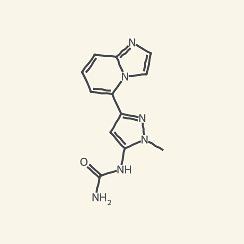 Cn1nc(-c2cccc3nccn23)cc1NC(N)=O